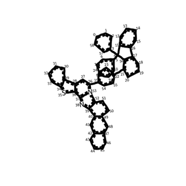 c1ccc(C2(c3ccccc3)c3ccccc3-c3cccc(-c4ccc(-c5cc6c7ccccc7sc6c6nc7c8cc9ccccc9cc8ccc7n56)cc4)c32)cc1